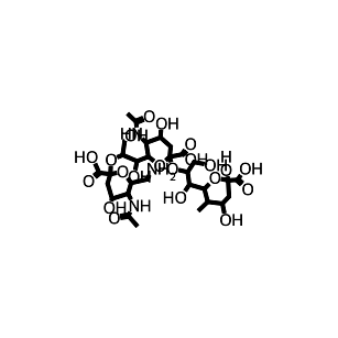 CC(=O)NC1C(O)CC(OC(CO)C(O)C2OC(OC(CO)C(O)C3OC(O)(C(=O)O)CC(O)C3C)(C(=O)O)CC(O)C2NC(C)=O)(C(=O)O)OC1CN